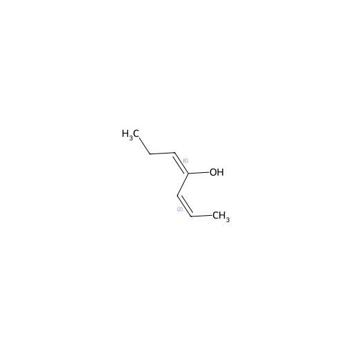 C/C=C\C(O)=C/CC